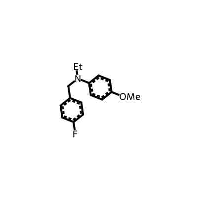 CCN(Cc1ccc(F)cc1)c1ccc(OC)cc1